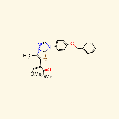 COC=C(C(=O)OC)C1=C(C)N2N=CN(c3ccc(OCc4ccccc4)cc3)C2S1